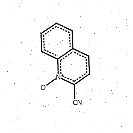 N#Cc1ccc2ccccc2[n+]1[O-]